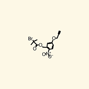 C#CCOc1ccc([N+](=O)[O-])c(COC(=O)C(C)(C)Br)c1